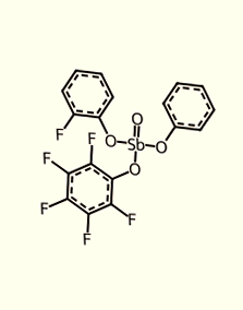 [O]=[Sb]([O]c1ccccc1)([O]c1ccccc1F)[O]c1c(F)c(F)c(F)c(F)c1F